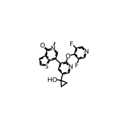 Cn1cc(-c2cc(C3(O)CC3)cnc2Oc2c(F)cncc2F)c2sccc2c1=O